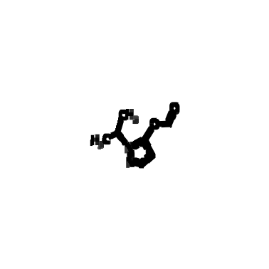 CC(C)n1nccc1OC=O